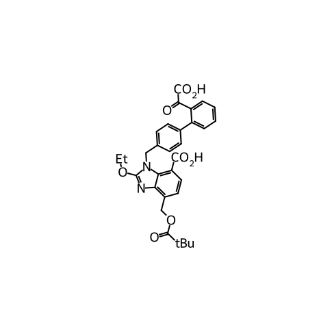 CCOc1nc2c(COC(=O)C(C)(C)C)ccc(C(=O)O)c2n1Cc1ccc(-c2ccccc2C(=O)C(=O)O)cc1